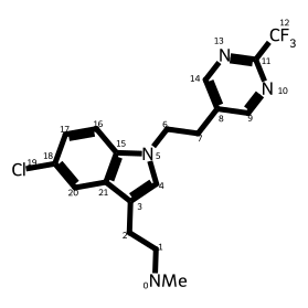 CNCCc1cn(CCc2cnc(C(F)(F)F)nc2)c2ccc(Cl)cc12